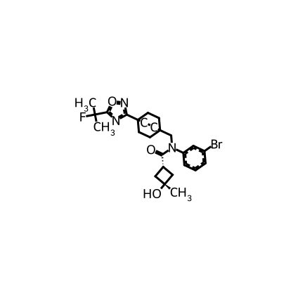 CC(C)(F)c1nc(C23CCC(CN(c4cccc(Br)c4)C(=O)[C@H]4C[C@@](C)(O)C4)(CC2)CC3)no1